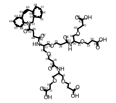 O=C(O)CCOCC(COCCC(=O)O)NC(=O)CCOCC(COCCC(=O)NC(COCCC(=O)O)COCCC(=O)O)NC(=O)CCC(=O)N1Cc2ccccc2C#Cc2ccccc21